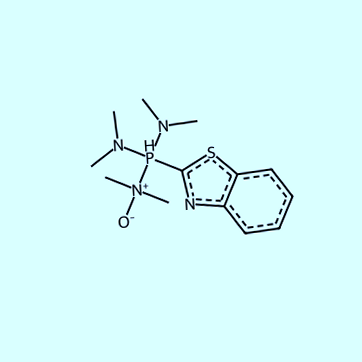 CN(C)[PH](c1nc2ccccc2s1)(N(C)C)[N+](C)(C)[O-]